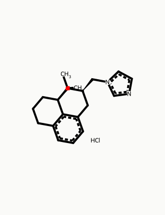 CC(C)[C@@]12CCCc3cccc(c31)C[C@H](Cn1ccnc1)C2.Cl